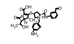 C[C@@H](O)[C@H]1C(=O)N2C(C(=O)O)=C(S[C@H]3C[C@@H](C(=O)Nc4cccc(C=O)c4)N(Cc4ccc(N)cc4)C3)[C@H](C)[C@H]12